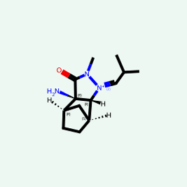 CC(C)/C=[N+]1/[C@@H]2[C@H]3CC[C@H](C3)[C@]2(N)C(=O)N1C